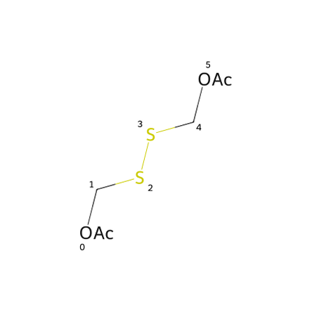 CC(=O)OCSSCOC(C)=O